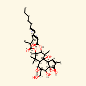 CCCCC/C=C/C=C/C(=O)OC1C(C)C2(O)C3C=C(C)C(=O)C3(O)C(O)C3(CO)OC3C2C(C)(C)C1(C)OC(=O)C(C)CC